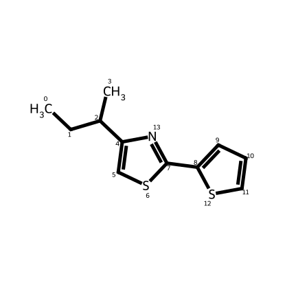 CCC(C)c1csc(-c2cccs2)n1